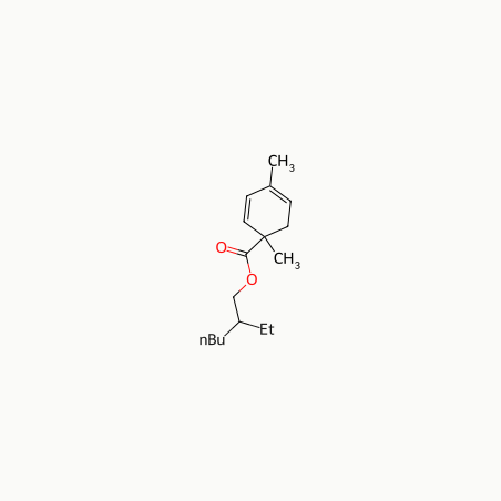 CCCCC(CC)COC(=O)C1(C)C=CC(C)=CC1